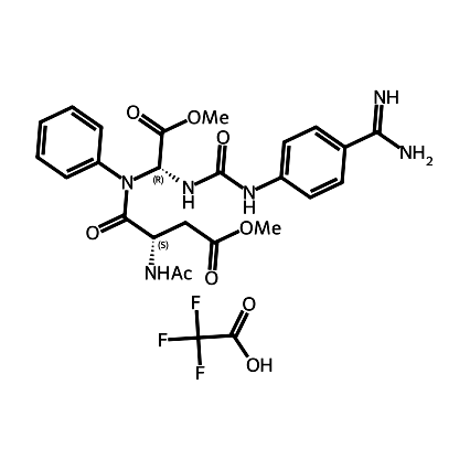 COC(=O)C[C@H](NC(C)=O)C(=O)N(c1ccccc1)[C@@H](NC(=O)Nc1ccc(C(=N)N)cc1)C(=O)OC.O=C(O)C(F)(F)F